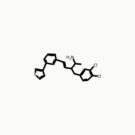 CC(N)C(C=Cc1cccc(-c2ccsc2)c1)Cc1ccc(Cl)c(Cl)c1